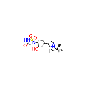 CC(C)[Si](C(C)C)(C(C)C)n1ccc(-c2ccc(N3CC(=O)NS3(=O)=O)c(O)c2)c1